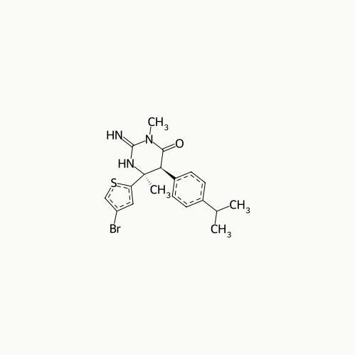 CC(C)c1ccc([C@@H]2C(=O)N(C)C(=N)N[C@]2(C)c2cc(Br)cs2)cc1